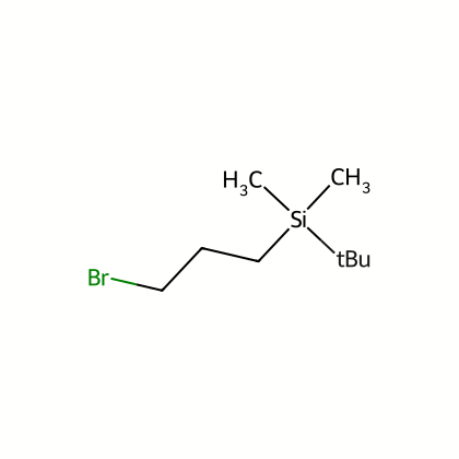 CC(C)(C)[Si](C)(C)CCCBr